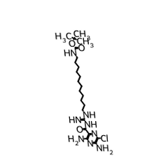 CC(C)(C)OC(=O)NCCCCCCCCCCCCNC(=N)NC(=O)c1nc(Cl)c(N)nc1N